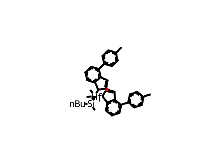 CCCC[Si](C)=[Hf]([CH3])([CH3])([CH]1C=Cc2c(-c3ccc(C)cc3)cccc21)[CH]1C=Cc2c(-c3ccc(C)cc3)cccc21